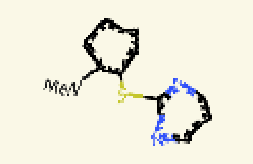 CNc1ccccc1Sc1ncccn1